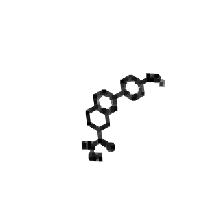 O=C(NO)C1CCc2ccc(-c3ccc([N+](=O)[O-])cc3)cc2C1